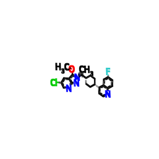 COc1c2cc(Cl)cnc2nn1[C@H](C)[C@H]1CC[C@@H](c2ccnc3ccc(F)cc32)CC1